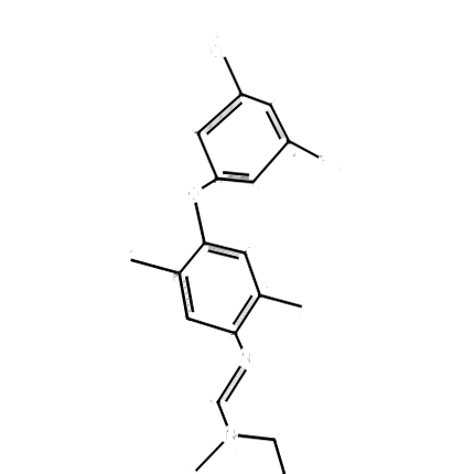 CCN(C)C=Nc1cc(C)c(Oc2cc(F)cc(Cl)c2)cc1C